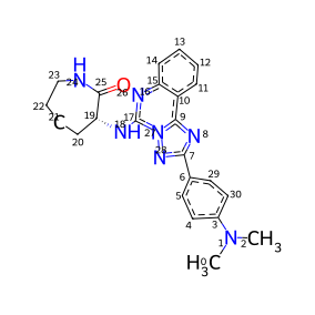 CN(C)c1ccc(-c2nc3c4ccccc4nc(N[C@@H]4CCCCNC4=O)n3n2)cc1